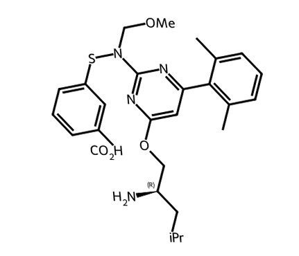 COCN(Sc1cccc(C(=O)O)c1)c1nc(OC[C@H](N)CC(C)C)cc(-c2c(C)cccc2C)n1